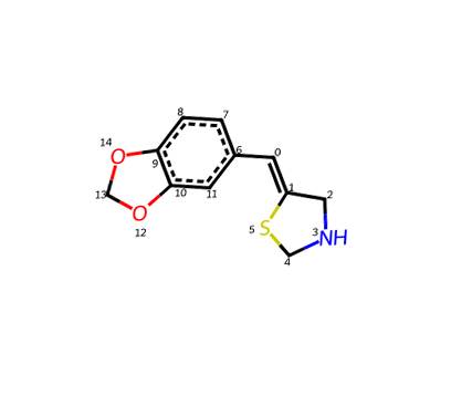 C(=C1CNCS1)c1ccc2c(c1)OCO2